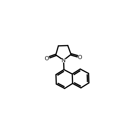 O=C1CCC(=O)N1c1cccc2ccccc12